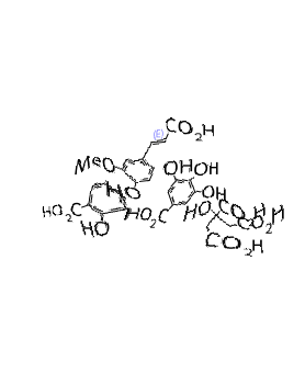 COc1cc(/C=C/C(=O)O)ccc1O.O=C(O)CC(O)(CC(=O)O)C(=O)O.O=C(O)c1cc(O)c(O)c(O)c1.O=C(O)c1ccccc1O